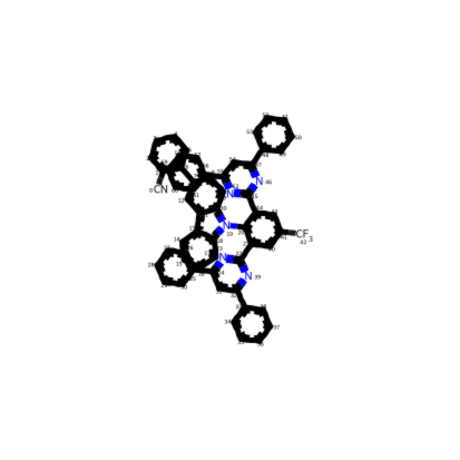 N#Cc1ccccc1-c1ccc2c(c1)c1ccccc1n2-c1c(-c2nc(-c3ccccc3)cc(-c3ccccc3)n2)cc(C(F)(F)F)cc1-c1nc(-c2ccccc2)cc(-c2ccccc2)n1